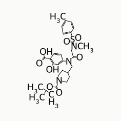 Cc1ccc(S(=O)(=O)N(C)CC(=O)N(CC2CCN(C(=O)OC(C)(C)C)CC2)c2ccc(C(=O)O)c(O)c2)cc1